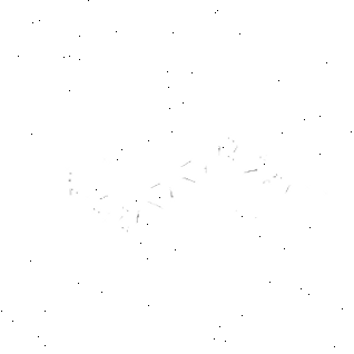 CCC(CC)[C@H](NC(=O)OC)C(=O)N1CCCC1c1nc(-c2ccc(-c3ccc(-c4c[nH]c([C@@H]5CCCN5C(=O)[C@@H](NC(=O)O)C(CC)CC)n4)cc3)cc2)c[nH]1